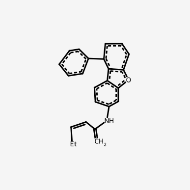 C=C(/C=C\CC)Nc1ccc2c(c1)oc1cccc(-c3ccccc3)c12